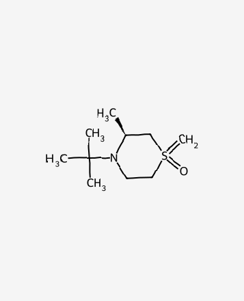 C=S1(=O)CCN(C(C)(C)C)[C@@H](C)C1